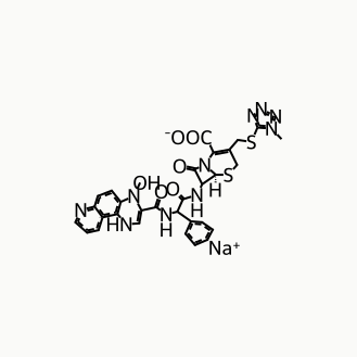 Cn1nnnc1SCC1=C(C(=O)[O-])N2C(=O)C(NC(=O)C(NC(=O)C3=CNc4c(ccc5ncccc45)N3O)c3ccccc3)[C@@H]2SC1.[Na+]